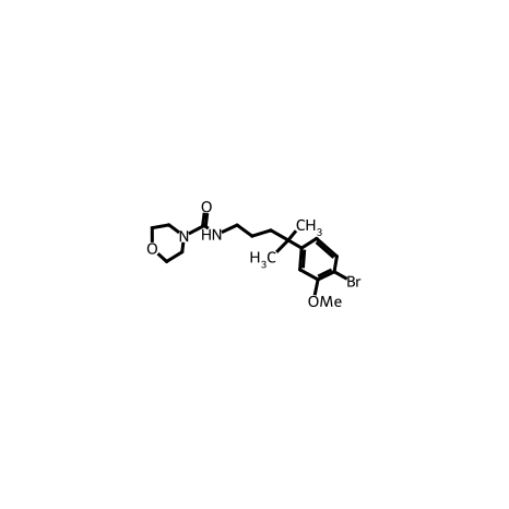 COc1cc(C(C)(C)CCCNC(=O)N2CCOCC2)ccc1Br